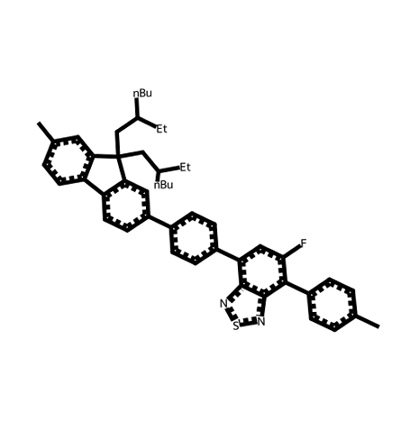 CCCCC(CC)CC1(CC(CC)CCCC)c2cc(C)ccc2-c2ccc(-c3ccc(-c4cc(F)c(-c5ccc(C)cc5)c5nsnc45)cc3)cc21